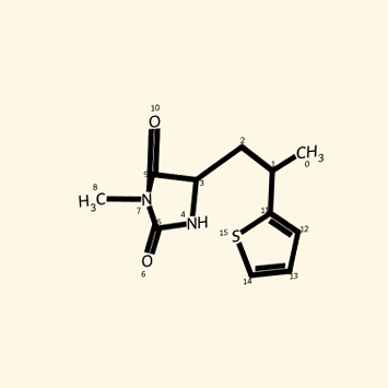 CC(CC1NC(=O)N(C)C1=O)c1cccs1